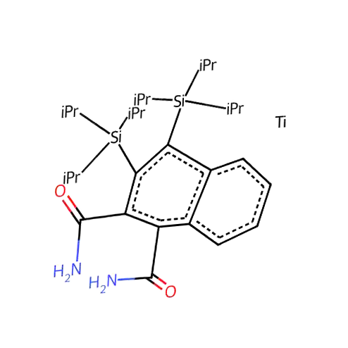 CC(C)[Si](c1c(C(N)=O)c(C(N)=O)c2ccccc2c1[Si](C(C)C)(C(C)C)C(C)C)(C(C)C)C(C)C.[Ti]